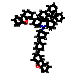 c1ccc(C2(c3ccccc3)c3ccccc3-c3c(N(c4ccc(-c5ccc(-c6ccc7oc8ccccc8c7c6)cc5)cc4)c4ccc(-c5cccc6c5oc5ccccc56)cc4)cccc32)cc1